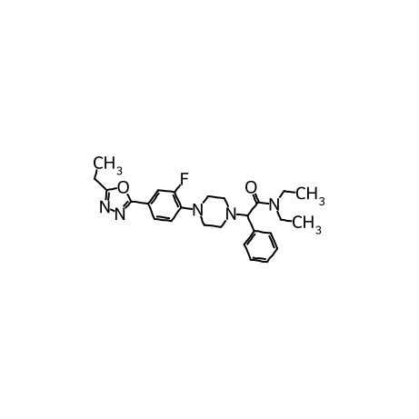 CCc1nnc(-c2ccc(N3CCN(C(C(=O)N(CC)CC)c4ccccc4)CC3)c(F)c2)o1